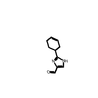 O=Cc1c[nH]c(C2CC=CCC2)n1